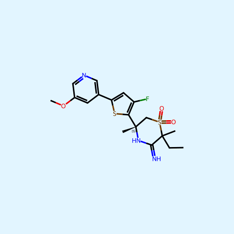 CCC1(C)C(=N)N[C@](C)(c2sc(-c3cncc(OC)c3)cc2F)CS1(=O)=O